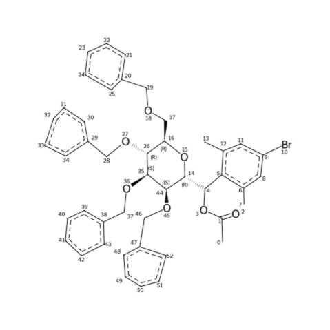 CC(=O)OC(c1c(C)cc(Br)cc1C)[C@H]1O[C@H](COCc2ccccc2)[C@@H](OCc2ccccc2)[C@H](OCc2ccccc2)[C@@H]1OCc1ccccc1